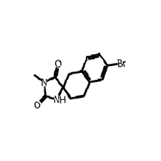 CN1C(=O)NC2(CCc3cc(Br)ccc3C2)C1=O